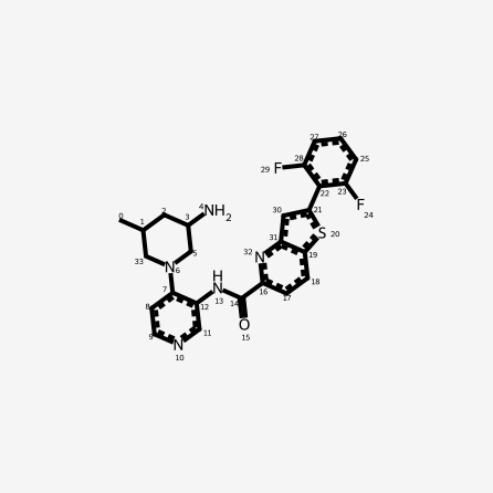 CC1CC(N)CN(c2ccncc2NC(=O)c2ccc3sc(-c4c(F)cccc4F)cc3n2)C1